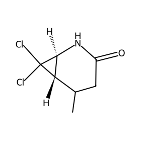 CC1CC(=O)N[C@H]2[C@H]1C2(Cl)Cl